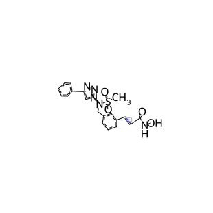 CS(=O)(=O)N(Cc1cccc(/C=C/C(=O)NO)c1)n1cc(-c2ccccc2)nn1